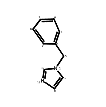 [c]1cn(Cc2ccccc2)cn1